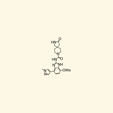 COc1ccc(-c2cnn(C)c2)c2nc(NC(=O)N3CCC4(CC3)CNC(=O)C4)[nH]c12